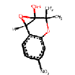 CC1(C)Oc2cc([N+](=O)[O-])ccc2[C@@H]2OC21O